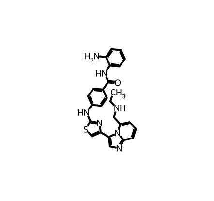 CCNCc1cccc2ncc(-c3csc(Nc4ccc(C(=O)Nc5ccccc5N)cc4)n3)n12